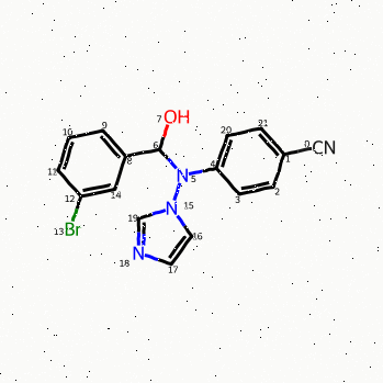 N#Cc1ccc(N(C(O)c2cccc(Br)c2)n2ccnc2)cc1